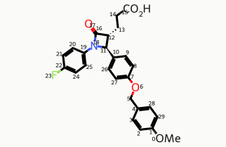 COc1ccc(COc2ccc([C@@H]3[C@@H](CCC(=O)O)C(=O)N3c3ccc(F)cc3)cc2)cc1